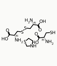 C1CSCN1.N[C@@H](CS)C(=O)O.N[C@@H](CSSC[C@H](N)C(=O)O)C(=O)O